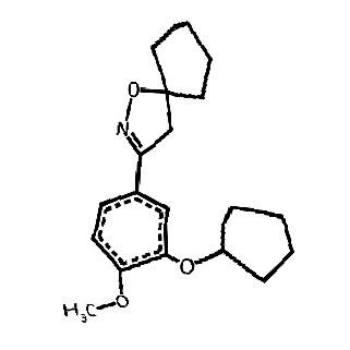 COc1ccc(C2=NOC3(CCCC3)C2)cc1OC1CCCC1